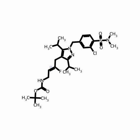 CC(C)c1nn(Cc2ccc(S(=O)(=O)N(C)C)c(Cl)c2)c(C(C)C)c1C/C(F)=C/CNC(=O)OC(C)(C)C